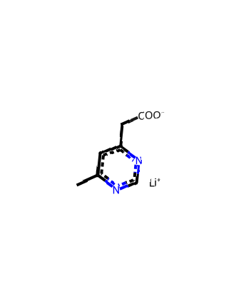 Cc1cc(CC(=O)[O-])ncn1.[Li+]